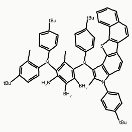 Bc1c(B)c(N(c2ccc(C(C)(C)C)cc2)c2ccc(C(C)(C)C)cc2C)c(C)c(N(c2ccc(C(C)(C)C)cc2)c2c(C)n(-c3ccc(C(C)(C)C)cc3)c3ccc4c5ccc6ccccc6c5sc4c23)c1B